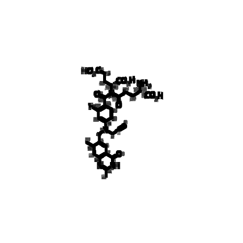 C#CCN(Cc1cc2c(=O)[nH]c(C)nc2cc1C)c1ccc(C(=O)N(C(=O)CC[C@H](N)C(=O)O)[C@H](CCC(=O)O)C(=O)O)c(F)c1